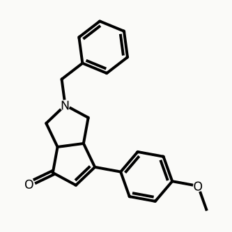 COc1ccc(C2=CC(=O)C3CN(Cc4ccccc4)CC23)cc1